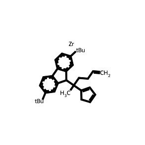 C=CCCC(C)(C1=CC=CC1)C1c2cc(C(C)(C)C)ccc2-c2ccc(C(C)(C)C)cc21.[Zr]